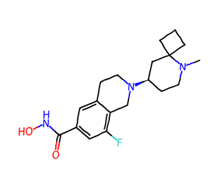 CN1CC[C@@H](N2CCc3cc(C(=O)NO)cc(F)c3C2)CC12CCC2